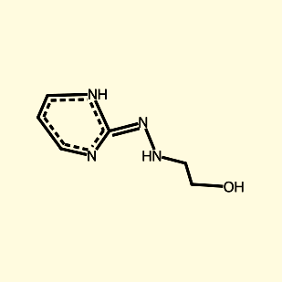 OCCNN=c1nccc[nH]1